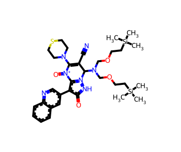 C[Si](C)(C)CCOCN(COCC[Si](C)(C)C)C1C(C#N)=C(N2CCSCC2)[N+](=O)c2c(-c3cnc4ccccc4c3)c(=O)[nH]n21